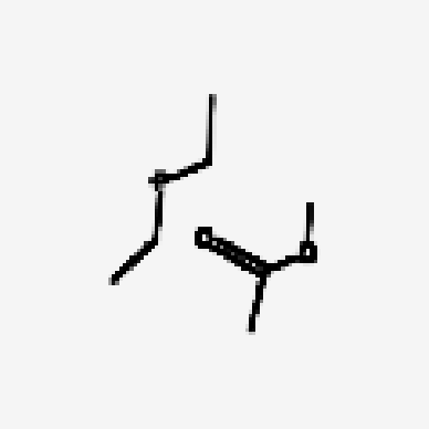 CC[P]CC.COC(C)=O